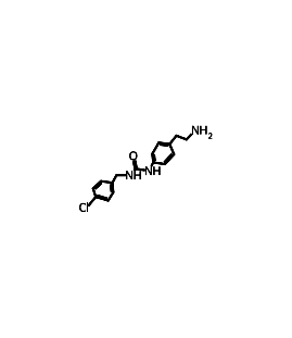 NCCc1ccc(NC(=O)NCc2ccc(Cl)cc2)cc1